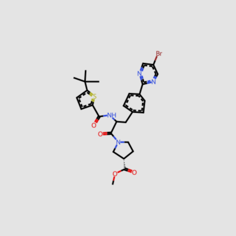 COC(=O)[C@H]1CCN(C(=O)C(Cc2ccc(-c3ncc(Br)cn3)cc2)NC(=O)c2ccc(C(C)(C)C)s2)C1